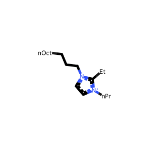 CCCCCCCCCCCn1cc[n+](CCC)c1CC